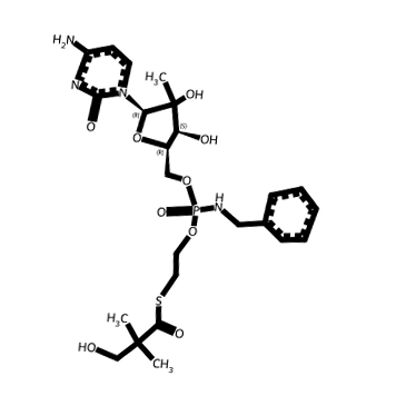 CC(C)(CO)C(=O)SCCOP(=O)(NCc1ccccc1)OC[C@H]1O[C@@H](n2ccc(N)nc2=O)C(C)(O)[C@H]1O